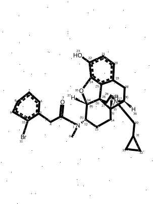 CN(C(=O)Cc1ccccc1Br)[C@H]1CC[C@@]2(O)[C@H]3Cc4ccc(O)c5c4[C@@]2(CCN3CC2CC2)[C@H]1O5